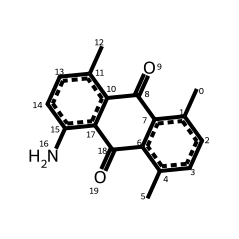 Cc1ccc(C)c2c1C(=O)c1c(C)ccc(N)c1C2=O